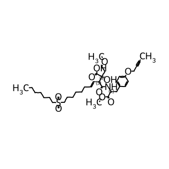 CC#CCOc1ccc(C[C@H](NC(=O)[C@@H](C=CCCCCCCS(=O)(=O)CCCCCCC)[C@@](O)(CCOC)C(=O)O)C(=O)OC)cc1